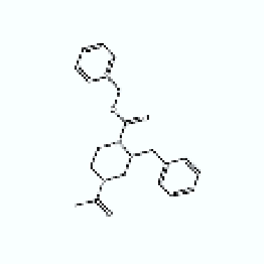 CC(=O)N1CCN(C(=O)OCc2ccccc2)C(Cc2ccccc2)C1